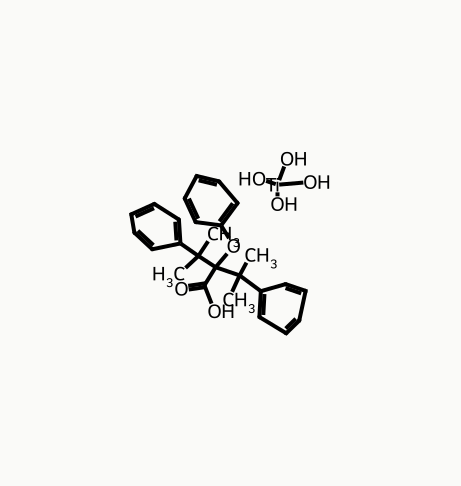 CC(C)(c1ccccc1)C(Oc1ccccc1)(C(=O)O)C(C)(C)c1ccccc1.[OH][Ti]([OH])([OH])[OH]